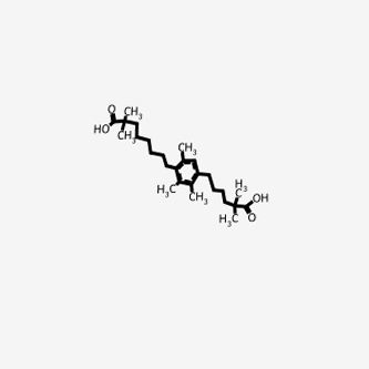 Cc1cc(CCCCC(C)(C)C(=O)O)c(C)c(C)c1CCCCCCC(C)(C)C(=O)O